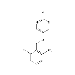 FC(F)(F)c1cccc(Cl)c1COc1cnc(Cl)nc1